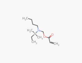 C=CC(=O)OCN(CCCC)[Si](C)(C)CC